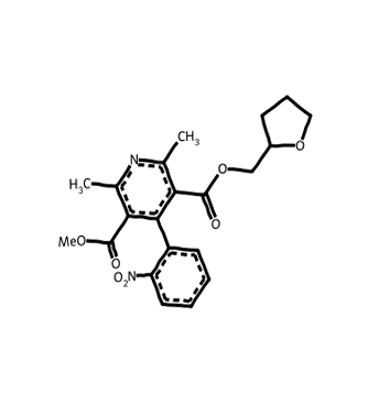 COC(=O)c1c(C)nc(C)c(C(=O)OCC2CCCO2)c1-c1ccccc1[N+](=O)[O-]